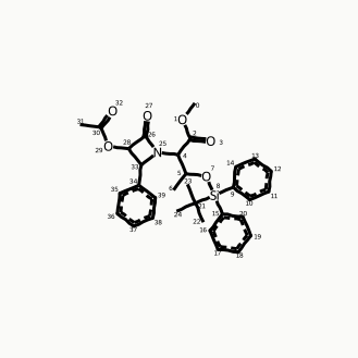 COC(=O)C(C(C)O[Si](c1ccccc1)(c1ccccc1)C(C)(C)C)N1C(=O)C(OC(C)=O)C1c1ccccc1